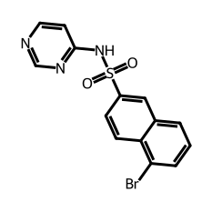 O=S(=O)(Nc1ccncn1)c1ccc2c(Br)cccc2c1